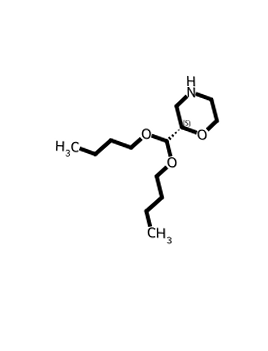 CCCCOC(OCCCC)[C@@H]1CNCCO1